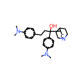 CN(C)c1ccc(CCC(O)(c2ccc(N(C)C)cc2)C2CN3CCC2CC3)cc1